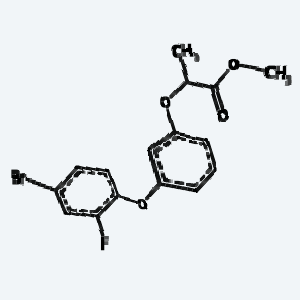 COC(=O)C(C)Oc1cccc(Oc2ccc(Br)cc2F)c1